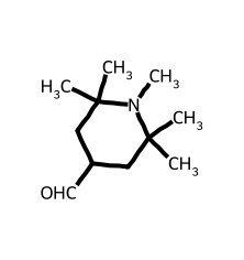 CN1C(C)(C)CC(C=O)CC1(C)C